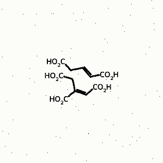 O=C(O)C=C(CC(=O)O)C(=O)O.O=C(O)C=CCC(=O)O